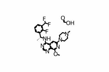 COc1nc(N2CCN(C)CC2)cc2c(N[C@H](C)c3cccc(C(F)F)c3F)ncnc12.O=CO